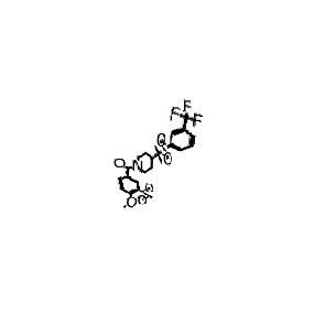 COc1ccc(C(=O)N2CCC(C(C)(C)S(=O)(=O)c3cccc(C(F)(F)F)c3)CC2)cc1S(C)(=O)=O